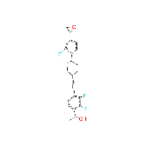 CC(O)c1ccc(C#CC2CCC(c3ccc(C4CO4)cc3F)CC2)c(F)c1F